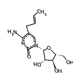 C/C=C/Cc1cn([C@@H]2O[C@H](CO)[C@@H](O)[C@@H]2O)c(=O)nc1N